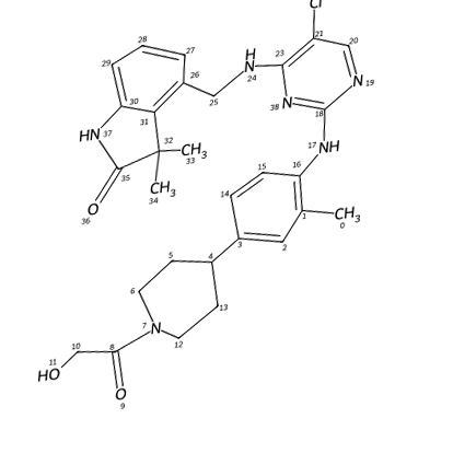 Cc1cc(C2CCN(C(=O)CO)CC2)ccc1Nc1ncc(Cl)c(NCc2cccc3c2C(C)(C)C(=O)N3)n1